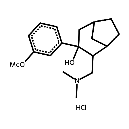 COc1cccc(C2(O)CC3CCC(C3)C2CN(C)C)c1.Cl